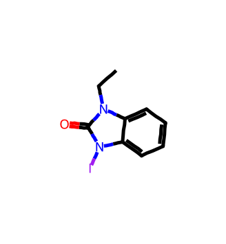 CCn1c(=O)n(I)c2ccccc21